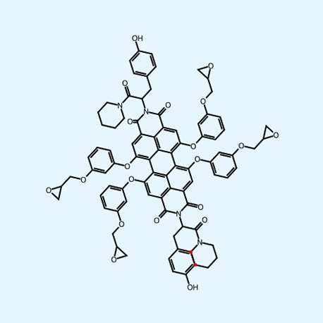 O=C(C(Cc1ccc(O)cc1)N1C(=O)c2cc(Oc3cccc(OCC4CO4)c3)c3c4c(Oc5cccc(OCC6CO6)c5)cc5c6c(cc(Oc7cccc(OCC8CO8)c7)c(c7c(Oc8cccc(OCC9CO9)c8)cc(c2c37)C1=O)c64)C(=O)N(C(Cc1ccc(O)cc1)C(=O)N1CCCCC1)C5=O)N1CCCCC1